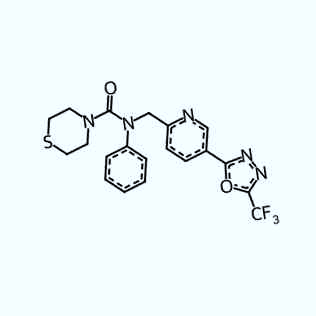 O=C(N1CCSCC1)N(Cc1ccc(-c2nnc(C(F)(F)F)o2)cn1)c1ccccc1